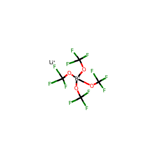 FC(F)(F)O[B-](OC(F)(F)F)(OC(F)(F)F)OC(F)(F)F.[Li+]